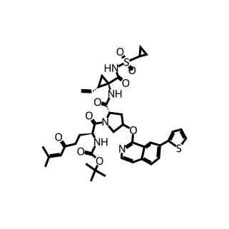 C=C[C@@H]1C[C@]1(NC(=O)[C@@H]1CC(Oc2nccc3ccc(-c4cccs4)cc23)CN1C(=O)[C@H](CCC(=O)C=C(C)C)NC(=O)OC(C)(C)C)C(=O)NS(=O)(=O)C1CC1